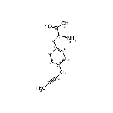 CC#COc1ccc(C[C@H](N)C(=O)O)cc1